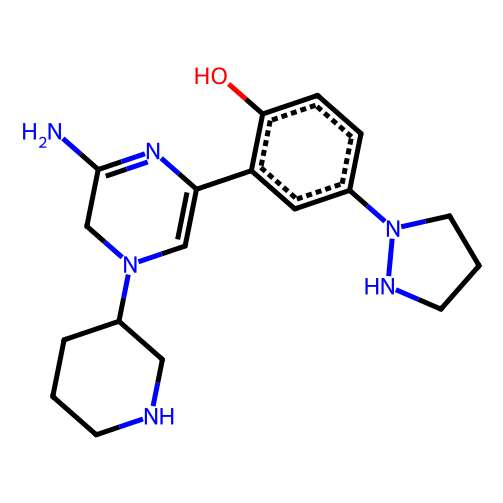 NC1=NC(c2cc(N3CCCN3)ccc2O)=CN(C2CCCNC2)C1